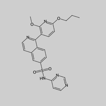 CCCOc1ccc(-c2nccc3cc(S(=O)(=O)Nc4ccncn4)ccc23)c(OC)n1